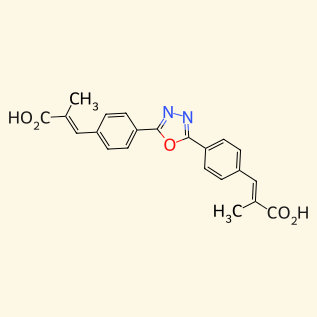 CC(=Cc1ccc(-c2nnc(-c3ccc(C=C(C)C(=O)O)cc3)o2)cc1)C(=O)O